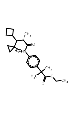 CCOC(=O)C(C)(C)c1ccc(NC(=O)[C@@H](C)C(C2CCC2)C2(C)CC2)cc1